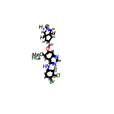 COc1cc2c(Nc3ccc(Br)c(Cl)c3F)ncnc2cc1OC[C@@H]1C[C@@H]2CN(C)C[C@@H]2C1.Cl